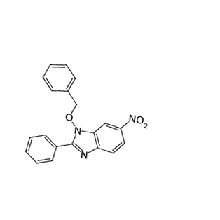 O=[N+]([O-])c1ccc2nc(-c3ccccc3)n(OCc3ccccc3)c2c1